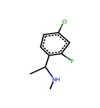 CNC(C)c1ccc(Cl)cc1F